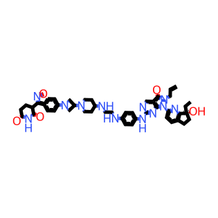 C=CCn1c(=O)c2cnc(Nc3ccc(NCCNC4CCN(C5CN(c6ccc7c(C8CCC(=O)NC8=O)noc7c6)C5)CC4)cc3)nc2n1-c1ccc2c(n1)[C@@](O)(CC)CC2